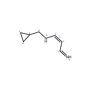 N=C/C=C\NCC1CC1